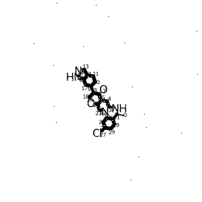 C[C@H](Nc1cc2c(=O)c(-c3ccc4cn[nH]c4c3)coc2cn1)c1ccc(Cl)cc1